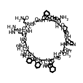 CCCCC1C(=O)N(C)[C@@H](CCCC)C(=O)N[C@@H](CCCNC(=N)N)C(=O)N[C@H](C(=O)NCC(N)=O)CSCC(=O)N[C@@H](Cc2ccccc2)C(=O)N(C)[C@@H](C)C(=O)N[C@@H](CC(N)=O)C(=O)N2CCC[C@H]2C(=O)N[C@@H](Cc2cnc[nH]2)C(=O)N[C@@H](CC(C)C)C(=O)N(C)CC(=O)N[C@@H](Cc2c[nH]c3ccccc23)C(=O)N[C@@H](CO)C(=O)N[C@@H](C(c2ccccc2)c2ccccc2)C(=O)N1C